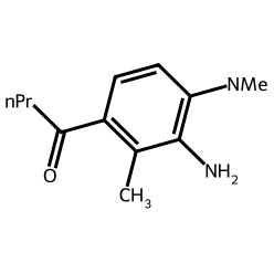 CCCC(=O)c1ccc(NC)c(N)c1C